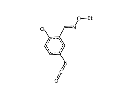 CCON=Cc1cc(N=C=O)ccc1Cl